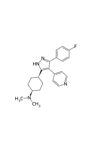 CN(C)[C@H]1CC[C@@H](c2[nH]nc(-c3ccc(F)cc3)c2-c2ccncc2)CC1